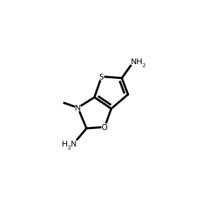 CN1c2sc(N)cc2OC1N